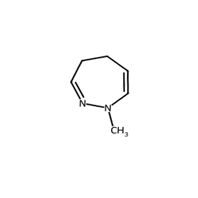 CN1C=CCCC=N1